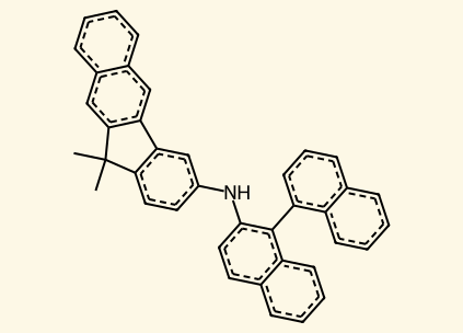 CC1(C)c2ccc(Nc3ccc4ccccc4c3-c3cccc4ccccc34)cc2-c2cc3ccccc3cc21